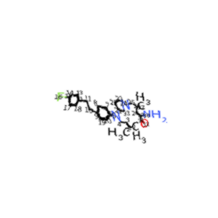 CC(C)=CCN(c1ccc(CCc2ccc(F)cc2)cc1)C1CCN(CC(C)CC(N)C=O)C1